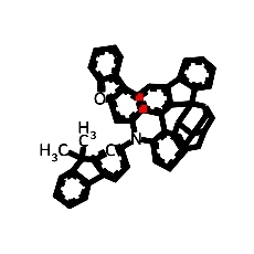 CC1(C)c2ccccc2-c2ccc(N(c3ccc4c(c3)oc3ccccc34)c3ccccc3-c3cccc4c3C3(c5ccccc5-4)C4CC5CC(C4)CC3C5)cc21